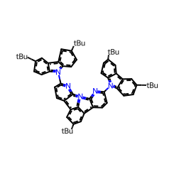 CC(C)(C)c1ccc2c(c1)c1cc(C(C)(C)C)ccc1n2-c1ccc2c3cc(C(C)(C)C)cc4c5ccc(-n6c7ccc(C(C)(C)C)cc7c7cc(C(C)(C)C)ccc76)nc5n(c2n1)c34